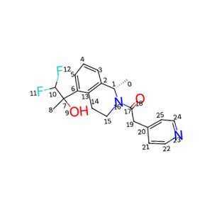 C[C@H]1c2cccc(C(C)(O)C(F)F)c2CCN1C(=O)Cc1ccncc1